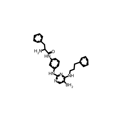 Bc1cnc(Nc2cccc(NC(=O)C(N)Cc3ccccc3)c2)nc1NCCCc1ccccc1